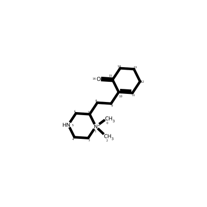 C[N+]1(C)CCNCC1CCC1=CCCCC1=O